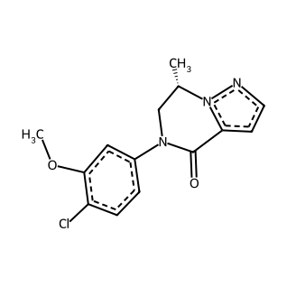 COc1cc(N2C[C@H](C)n3nccc3C2=O)ccc1Cl